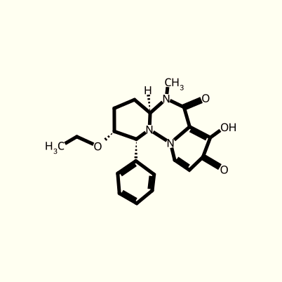 CCO[C@@H]1CC[C@H]2N(C)C(=O)c3c(O)c(=O)ccn3N2[C@@H]1c1ccccc1